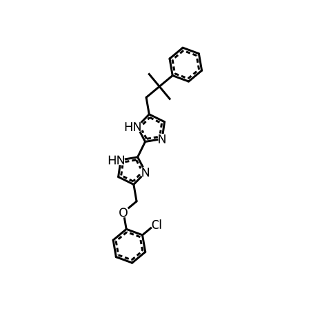 CC(C)(Cc1cnc(-c2nc(COc3ccccc3Cl)c[nH]2)[nH]1)c1ccccc1